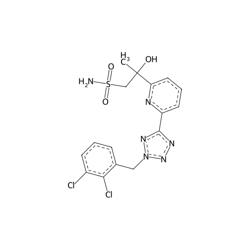 CC(O)(CS(N)(=O)=O)c1cccc(-c2nnn(Cc3cccc(Cl)c3Cl)n2)n1